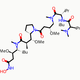 CC[C@H](C)[C@@H]([C@@H](CC(=O)N1CCC[C@H]1[C@H](OC)[C@@H](C)C(=O)N(C)[C@@H]([C@@H](C)CC)[C@@H](CC(=O)NO)OC)OC)N(C)C(=O)[C@@H](NC(=O)C(C(C)C)N(C)C)C(C)C